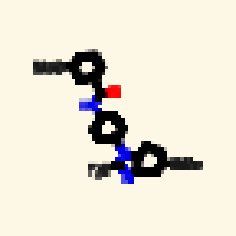 COc1cccc(C(=O)Nc2ccc(-n3c(C(F)(F)F)nc4cc(OC)ccc43)cc2)c1